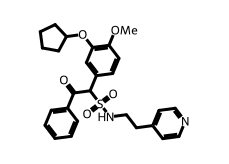 COc1ccc(C(C(=O)c2ccccc2)S(=O)(=O)NCCc2ccncc2)cc1OC1CCCC1